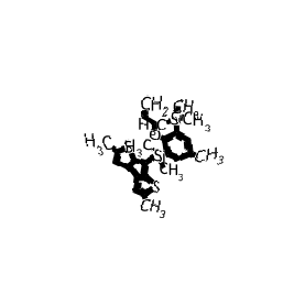 C=CCOc1c([Si](C)(C)C)cc(C)cc1[Si](C)(C)C1=c2sc(C)cc2=C2C=C(C)SC21